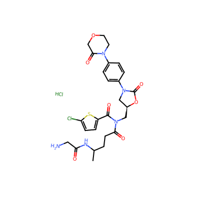 CC(CCC(=O)N(C[C@H]1CN(c2ccc(N3CCOCC3=O)cc2)C(=O)O1)C(=O)c1ccc(Cl)s1)NC(=O)CN.Cl